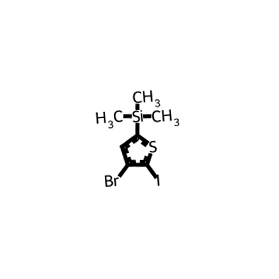 C[Si](C)(C)c1cc(Br)c(I)s1